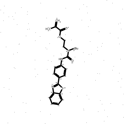 C=C(C)C(=O)OCCN(C(=O)Nc1ccc(-c2nc3ccccc3s2)cc1)C(C)(C)C